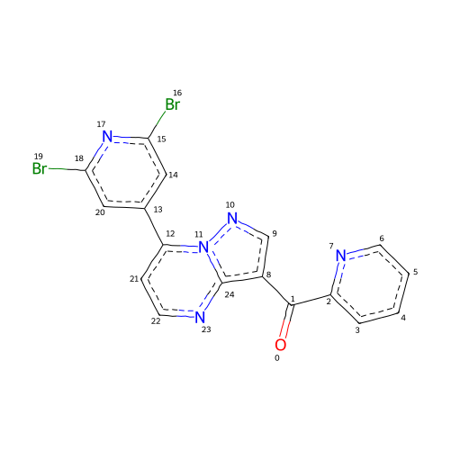 O=C(c1ccccn1)c1cnn2c(-c3cc(Br)nc(Br)c3)ccnc12